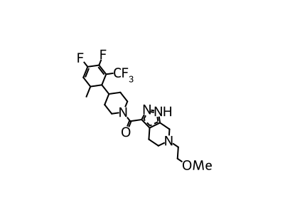 COCCN1CCc2c(C(=O)N3CCC(C4C(C(F)(F)F)=C(F)C(F)=CC4C)CC3)n[nH]c2C1